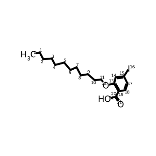 CCCCCCCCCCCCOc1cc(I)ccc1C(=O)O